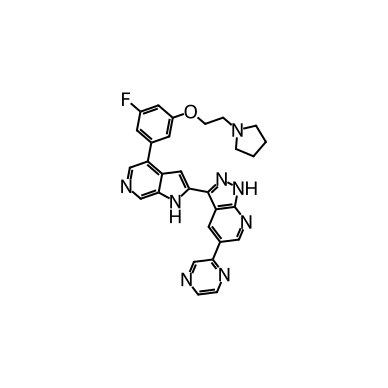 Fc1cc(OCCN2CCCC2)cc(-c2cncc3[nH]c(-c4n[nH]c5ncc(-c6cnccn6)cc45)cc23)c1